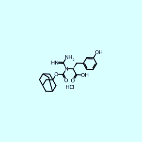 Cl.N=C(N)N(C(=O)OC12CC3CC(CC(C3)C1)C2)[C@@H](Cc1cccc(O)c1)C(=O)O